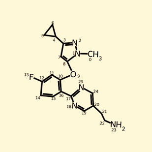 Cn1nc(C2CC2)cc1Oc1cc(F)ccc1-c1ncc(CCN)cn1